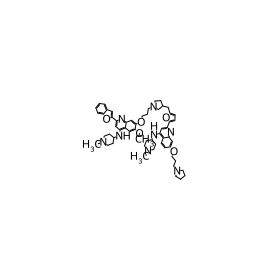 COc1cc2c(NC3CCN(C)CC3)cc(-c3cc4ccccc4o3)nc2cc1OCCCN1CCC(Cc2ccc(-c3cc(NC4CCN(C)CC4)c4ccc(OCCCN5CCCC5)cc4n3)o2)C1